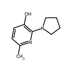 Cc1ccc(O)c(N2CCCC2)n1